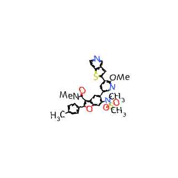 CNC(=O)c1c(-c2ccc(C)cc2)oc2cc(N(C)S(C)(=O)=O)c(-c3cnc(OC)c(-c4cc5cnccc5s4)c3)cc12